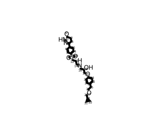 O=C1CCC(c2ccc(S(=O)(=O)CCCNCC(O)COc3ccc(CCOCC4CC4)cc3)cc2)=NN1